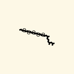 CCCOCCOCCOCCOCCOCCC(C)CCCC(C)CC(C)C